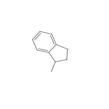 CC1C[CH]c2ccccc21